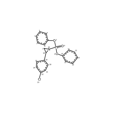 O=P(Oc1ccccc1)(Oc1ccccc1)N1CC1c1ccc(Cl)cc1